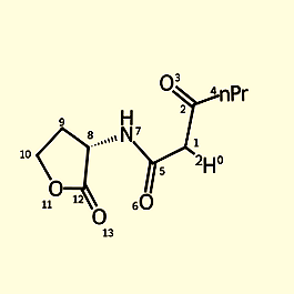 [2H]C(C(=O)CCC)C(=O)N[C@H]1CCOC1=O